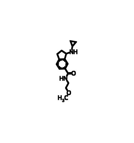 COCCNC(=O)c1ccc2c(c1)C(NC1CC1)CC2